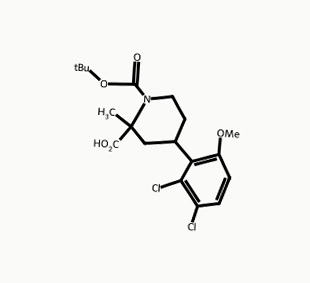 COc1ccc(Cl)c(Cl)c1C1CCN(C(=O)OC(C)(C)C)C(C)(C(=O)O)C1